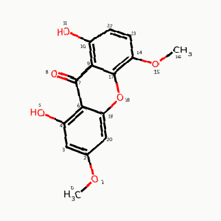 COc1cc(O)c2c(=O)c3c(O)ccc(OC)c3oc2c1